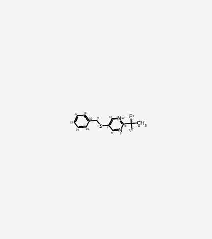 CC(F)(F)c1ncc(SCc2ccccc2)cn1